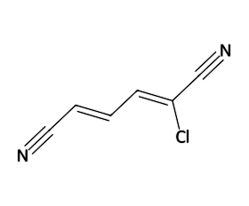 N#CC=CC=C(Cl)C#N